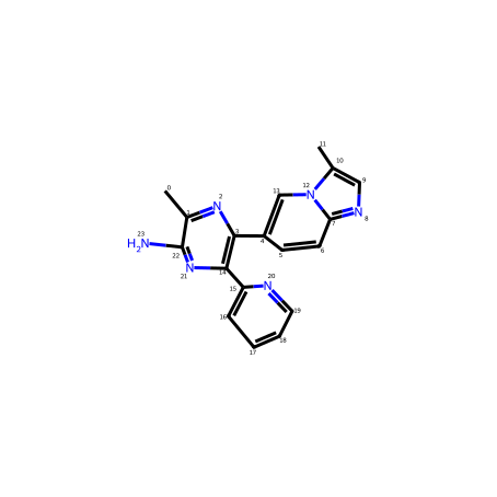 Cc1nc(-c2ccc3ncc(C)n3c2)c(-c2ccccn2)nc1N